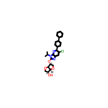 CC(C)n1c(O[C@@H]2CO[C@H]3C2OC[C@H]3O)nc2cc(Cl)c(-c3ccc(-c4ccccc4)cc3)nc21